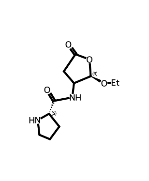 CCO[C@@H]1OC(=O)CC1NC(=O)[C@@H]1CCCN1